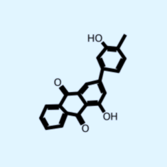 Cc1ccc(-c2cc(O)c3c(c2)C(=O)c2ccccc2C3=O)cc1O